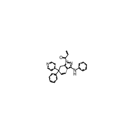 C=CC(=O)n1nc(Nc2ccccc2)c2c1CC(c1ccccc1)(c1ccncc1)C=C2